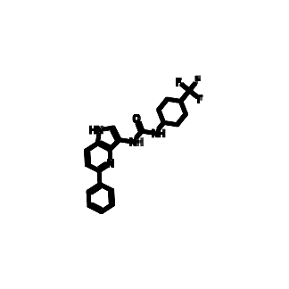 O=C(Nc1c[nH]c2ccc(-c3ccccc3)nc12)NC1CCC(C(F)(F)F)CC1